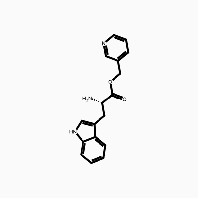 N[C@@H](Cc1c[nH]c2ccccc12)C(=O)OCc1cccnc1